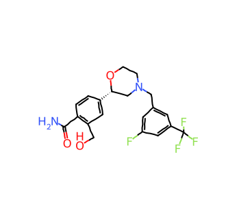 NC(=O)c1ccc([C@H]2CN(Cc3cc(F)cc(C(F)(F)F)c3)CCO2)cc1CO